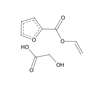 C=COC(=O)c1ccco1.O=C(O)CO